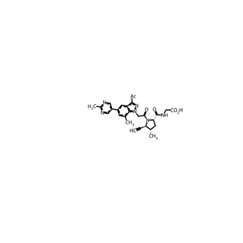 C#C[C@@H]1[C@@H](C)C[C@@H](C(=O)NCC(=O)O)N1C(=O)Cn1nc(C(C)=O)c2cc(-c3cnc(C)nc3)cc(C)c21